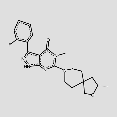 C[C@H]1CC2(CCN(c3nc4[nH]nc(-c5ccccc5F)c4c(=O)n3C)CC2)CO1